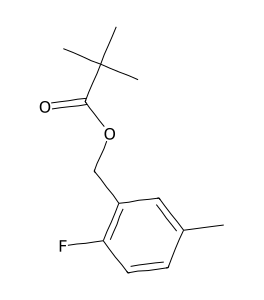 Cc1ccc(F)c(COC(=O)C(C)(C)C)c1